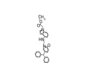 CCOC(=O)Cn1ccc2c(NCCn3cc(C(c4ccccc4)c4ccccc4)ccc3=O)cccc21